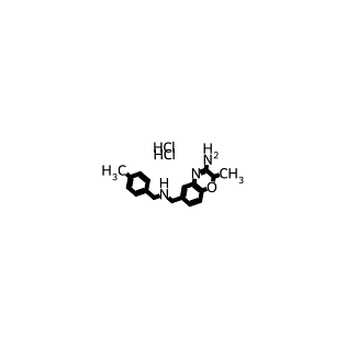 Cc1ccc(CNCc2ccc3c(c2)N=C(N)C(C)O3)cc1.Cl.Cl